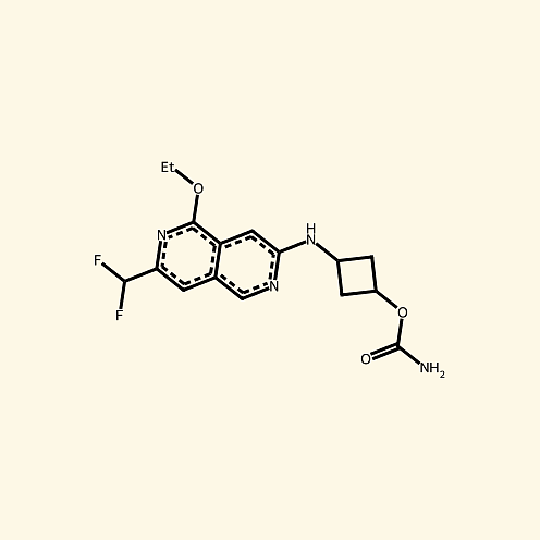 CCOc1nc(C(F)F)cc2cnc(NC3CC(OC(N)=O)C3)cc12